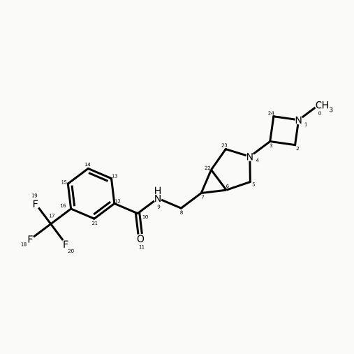 CN1CC(N2CC3C(CNC(=O)c4cccc(C(F)(F)F)c4)C3C2)C1